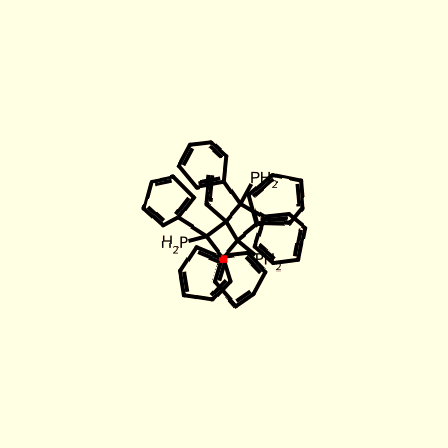 C=CC(C(P)(c1ccccc1)c1ccccc1)(C(P)(c1ccccc1)c1ccccc1)C(P)(c1ccccc1)c1ccccc1